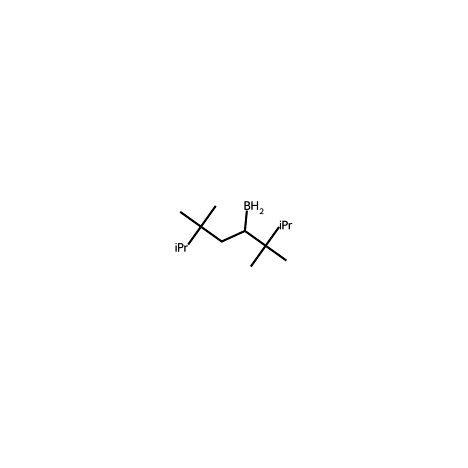 BC(CC(C)(C)C(C)C)C(C)(C)C(C)C